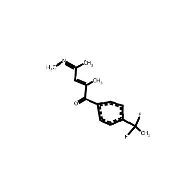 C/N=C(C)\C=C(/C)C(=O)c1ccc(C(C)(F)F)cc1